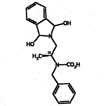 C[C@@H](CN1C(O)c2ccccc2C1O)N(Cc1ccccc1)C(=O)O